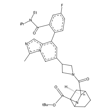 CCN(C(=O)c1cc(F)ccc1-c1cc(C2CN(C(=O)[C@H]3C4CCC(CC4)N3C(=O)OC(C)(C)C)C2)cn2c(C)ncc12)C(C)C